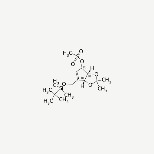 CC1(C)O[C@H]2[C@@H](OS(C)(=O)=O)C=C(CO[Si](C)(C)C(C)(C)C)[C@H]2O1